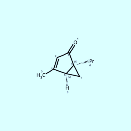 CC1=CC(=O)[C@@]2(C(C)C)C[C@@H]12